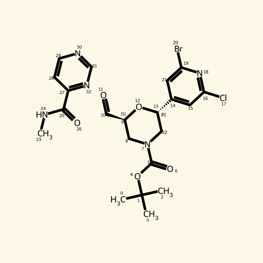 CC(C)(C)OC(=O)N1C[C@@H](C=O)O[C@H](c2cc(Cl)nc(Br)c2)C1.CNC(=O)c1ccncn1